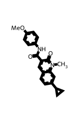 COc1ccc(NC(=O)c2cc3ccc(C4CC4)cc3n(C)c2=O)cc1